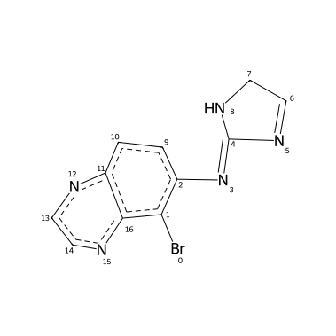 Brc1c(/N=C2/N=CCN2)ccc2nccnc12